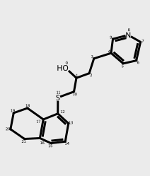 OC(CCc1cccnc1)CSc1cccc2c1CCCC2